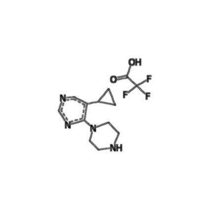 O=C(O)C(F)(F)F.c1ncc(C2CC2)c(N2CCNCC2)n1